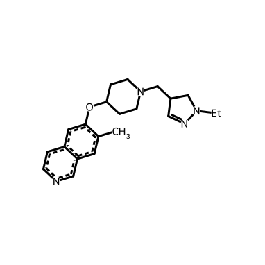 CCN1CC(CN2CCC(Oc3cc4ccncc4cc3C)CC2)C=N1